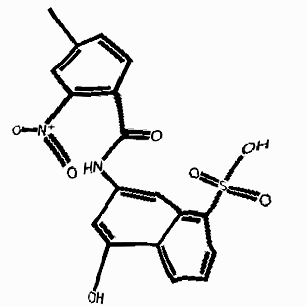 Cc1ccc(C(=O)Nc2cc(O)c3cccc(S(=O)(=O)O)c3c2)c([N+](=O)[O-])c1